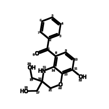 O=C(c1ccccc1)c1ccc(O)c2c1NC(CO)(CO)CO2